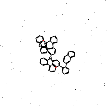 c1ccc(-c2cc(N(c3ccc(-c4ccccc4-c4ccc5ccccc5c4)cc3)c3ccccc3-c3ccccc3)ccc2-c2ccccc2-n2c3ccccc3c3ccccc32)cc1